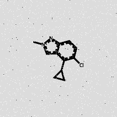 Cn1cc2c(C3[CH]C3)c(Cl)ccc2n1